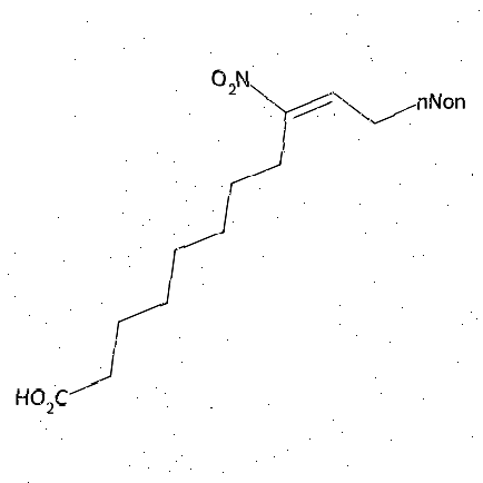 CCCCCCCCCCC=C(CCCCCCCC(=O)O)[N+](=O)[O-]